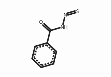 O=C(NN=S)c1ccccc1